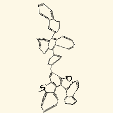 c1ccc2cc(-c3c4ccccc4c(-c4ccc(-c5cc6sc7ccccc7c6c6c5oc5ccc7ccccc7c56)cc4)c4ccccc34)ccc2c1